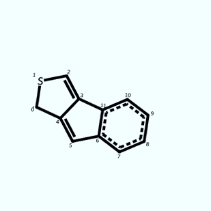 [CH]1SC=C2C1=Cc1ccccc12